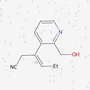 CC/C=C(/CC#N)c1cccnc1CO